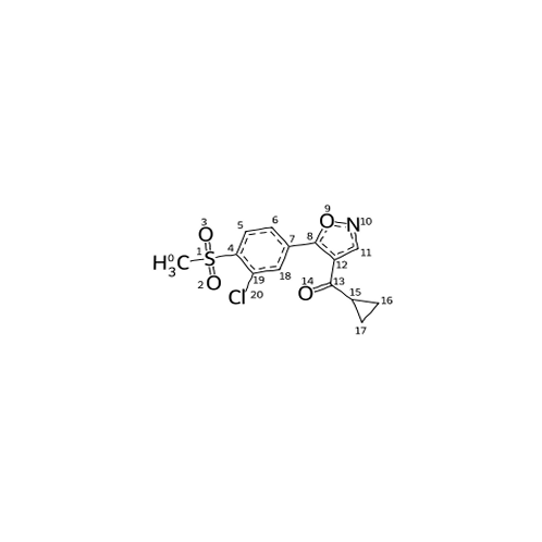 CS(=O)(=O)c1ccc(-c2oncc2C(=O)C2CC2)cc1Cl